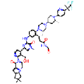 C[C@@H]1CC(N2CCN(c3ccc(Nc4nc(-c5ccnc(N6CCn7c(cc8c7CC(C)(C)C8)C6=O)c5CO)cn(C)c4=O)cc3C=CC(=O)NC=O)[C@@H](C)C2)CCN1c1ccc(C(C)(C)C(F)(F)F)nc1